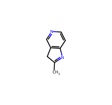 CC1=Nc2ccncc2C1